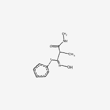 CNC(=O)C(C)C(=NO)Sc1ccccc1